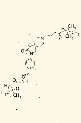 CC(C)(C)OC(=O)CCCN1CCC2(CC1)CN(c1ccc(C=NNC(=O)OC(C)(C)C)cc1)C(=O)O2